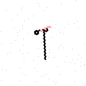 CCCCCCCCCCCCCCCCCCC1(COCc2ccccc2)CCC(O)O1